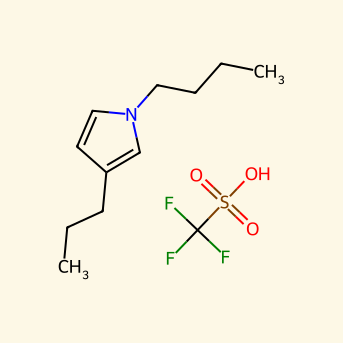 CCCCn1ccc(CCC)c1.O=S(=O)(O)C(F)(F)F